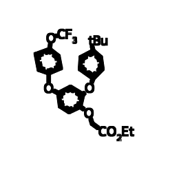 CCOC(=O)COc1ccc(Oc2ccc(OC(F)(F)F)cc2)cc1Oc1ccc(C(C)(C)C)cc1